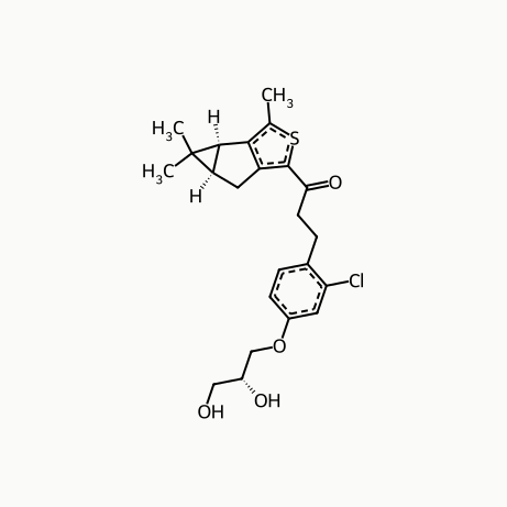 Cc1sc(C(=O)CCc2ccc(OC[C@H](O)CO)cc2Cl)c2c1[C@H]1[C@@H](C2)C1(C)C